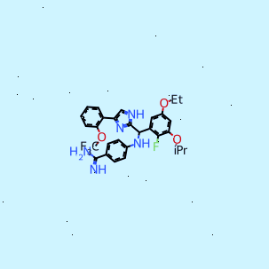 CCOc1cc(OC(C)C)c(F)c(C(Nc2ccc(C(=N)N)cc2)c2nc(-c3ccccc3OC(F)(F)F)c[nH]2)c1